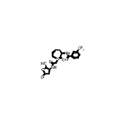 O=C(CN1CC=CCC(NC(=O)c2cccc(C(F)(F)F)c2)C1=O)NC1CC(=O)OC1O